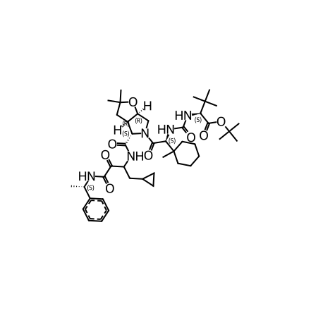 C[C@H](NC(=O)C(=O)C(CC1CC1)NC(=O)[C@@H]1[C@H]2CC(C)(C)O[C@H]2CN1C(=O)[C@@H](NC(=O)N[C@H](C(=O)OC(C)(C)C)C(C)(C)C)C1(C)CCCCC1)c1ccccc1